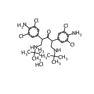 CC(C)(C)NCC(C(=O)C(CNC(C)(C)C)c1cc(Cl)c(N)c(Cl)c1)c1cc(Cl)c(N)c(Cl)c1.Cl